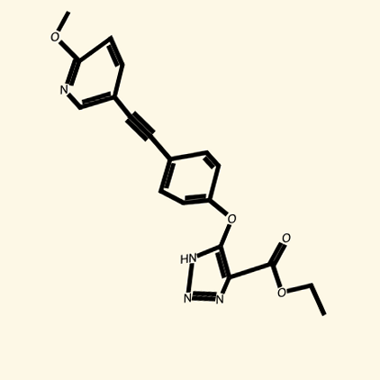 CCOC(=O)c1nn[nH]c1Oc1ccc(C#Cc2ccc(OC)nc2)cc1